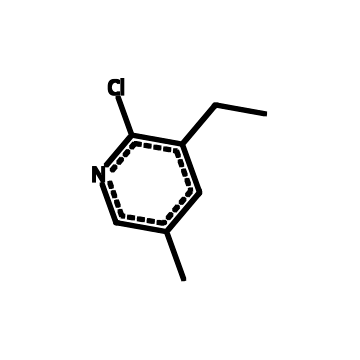 CCc1cc(C)cnc1Cl